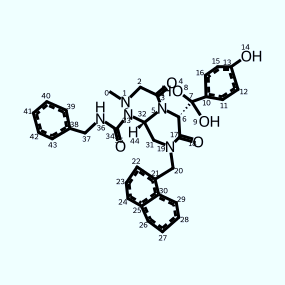 CN1CC(=O)N2[C@H](C(O)(O)c3ccc(O)cc3)C(=O)N(Cc3cccc4ccccc34)C[C@@H]2N1C(=O)NCc1ccccc1